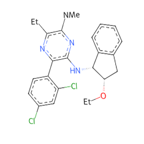 CCO[C@H]1Cc2ccccc2[C@H]1Nc1nc(NC)c(CC)nc1-c1ccc(Cl)cc1Cl